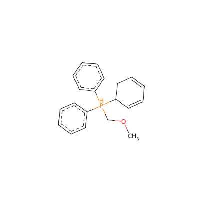 COC[PH](c1ccccc1)(c1ccccc1)C1C=CC=CC1